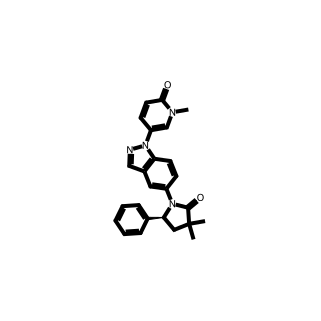 Cn1cc(-n2ncc3cc(N4C(=O)C(C)(C)C[C@H]4c4ccccc4)ccc32)ccc1=O